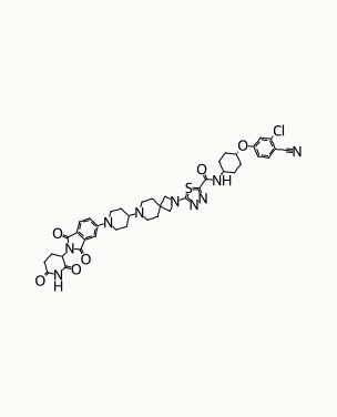 N#Cc1ccc(O[C@H]2CC[C@H](NC(=O)c3nnc(N4CC5(CCN(C6CCN(c7ccc8c(c7)C(=O)N(C7CCC(=O)NC7=O)C8=O)CC6)CC5)C4)s3)CC2)cc1Cl